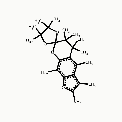 Cc1oc2c(C)c3c(c(C)c2c1C)C(C)(C)C(C)(C)C1(O3)OC(C)(C)C(C)(C)O1